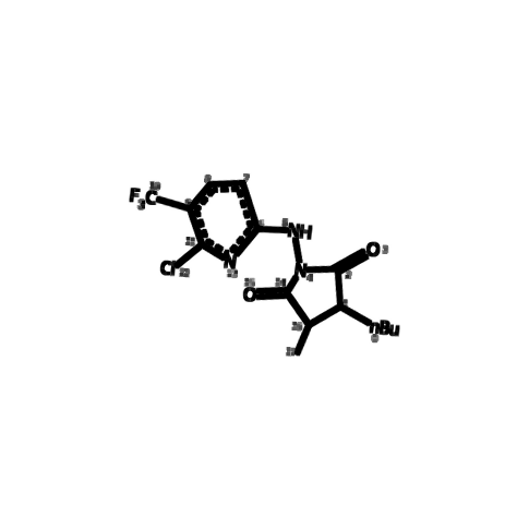 CCCCC1C(=O)N(Nc2ccc(C(F)(F)F)c(Cl)n2)C(=O)C1C